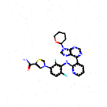 NC(=O)C1=CN(c2ccc(F)c(Nc3ncccc3-c3ncnc4c3ncn4C3CCCCO3)c2F)CS1